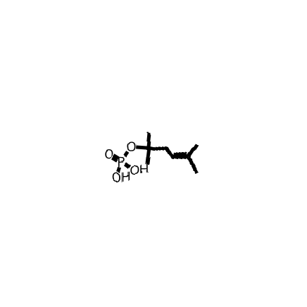 CC(C)=CCC(C)(C)OP(=O)(O)O